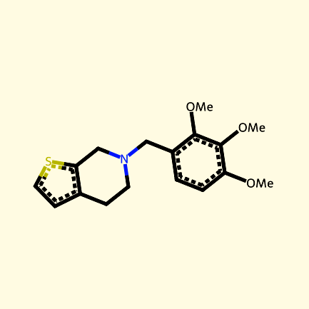 COc1ccc(CN2CCc3ccsc3C2)c(OC)c1OC